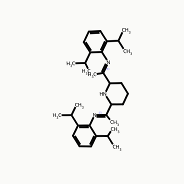 C/C(=N\c1c(C(C)C)cccc1C(C)C)C1CCCC(/C(C)=N/c2c(C(C)C)cccc2C(C)C)N1